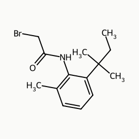 CCC(C)(C)c1cccc(C)c1NC(=O)CBr